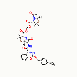 CC1(C)S[C@@H]2[C@H](NC(=O)C(NC(=O)OCc3ccc([N+](=O)[O-])cc3)c3ccccc3)C(=O)N2[C@H]1C(=O)OCOC(=O)[C@@H]1N2C(=O)C[C@H]2SC1(C)C